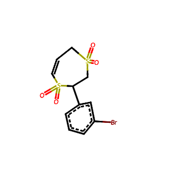 O=S1(=O)CC=CS(=O)(=O)C(c2cccc(Br)c2)C1